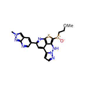 COCC[S@+]([O-])c1sc2nc(-c3cnc4nn(C)cc4c3)cc3c2c1[nH]n1nccc31